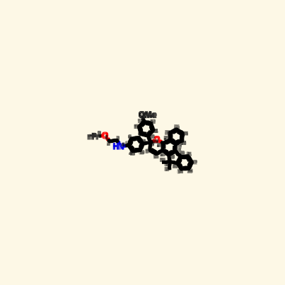 CCCOCCNc1ccc(C2(c3ccc(OC)cc3)C=Cc3c4c(c5ccccc5c3O2)-c2ccccc2C4(C)C)cc1